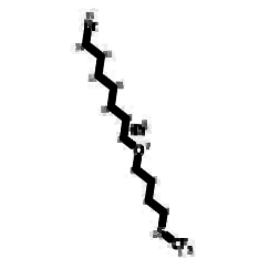 Br.FC(F)(F)SCCCCOCCCCCCCBr